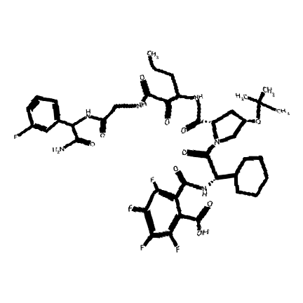 CCCC(NC(=O)[C@@H]1C[C@@H](OC(C)(C)C)CN1C(=O)[C@@H](NC(=O)c1c(F)c(F)c(F)c(F)c1C(=O)O)C1CCCCC1)C(=O)C(=O)NCC(=O)NC(C(N)=O)c1cccc(F)c1